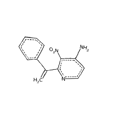 C=C(c1ccccc1)c1nccc(N)c1[N+](=O)[O-]